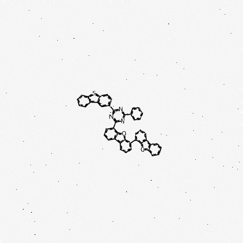 c1ccc(-c2nc(-c3ccc4sc5ccccc5c4c3)nc(-c3cccc4c3oc3c(-c5cccc6c5oc5ccccc56)cccc34)n2)cc1